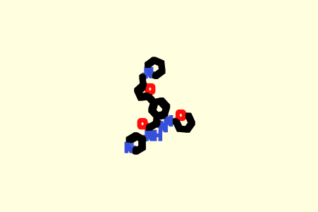 O=C(Nc1ccncc1)c1nn(C2CCCCO2)c2ccc(-c3ccc(CN4CCCCC4)o3)cc12